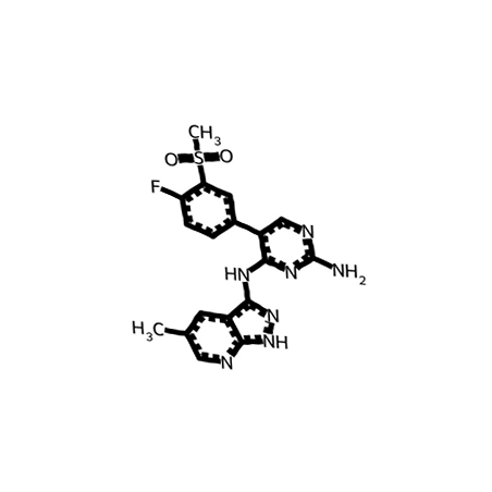 Cc1cnc2[nH]nc(Nc3nc(N)ncc3-c3ccc(F)c(S(C)(=O)=O)c3)c2c1